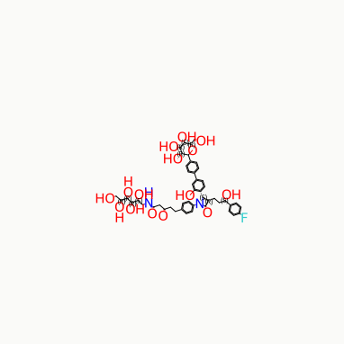 O=C(CCc1ccc(N2C(=O)[C@H](CC[C@H](O)c3ccc(F)cc3)[C@H]2c2ccc(-c3ccc(C4O[C@H](CO)[C@@H](O)[C@H](O)[C@H]4O)cc3)cc2O)cc1)CC(=O)NC[C@H](O)[C@@H](O)[C@H](O)[C@H](O)CO